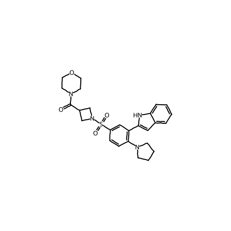 O=C(C1CN(S(=O)(=O)c2ccc(N3CCCC3)c(-c3cc4ccccc4[nH]3)c2)C1)N1CCOCC1